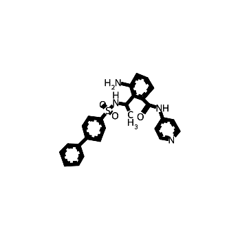 CC(NS(=O)(=O)c1ccc(-c2ccccc2)cc1)c1c(N)cccc1C(=O)Nc1ccncc1